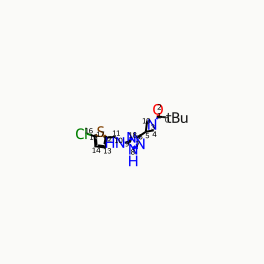 CC(C)(C)C(=O)N1CC(c2n[nH]c(NCc3ccc(Cl)s3)n2)C1